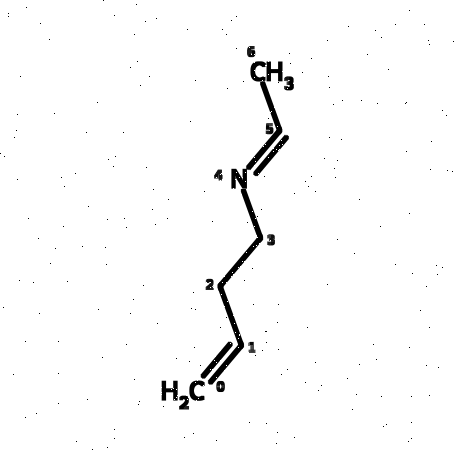 C=CCC/N=C/C